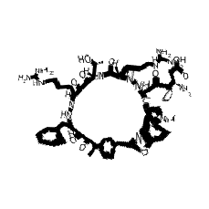 CC1C(=O)C(=O)[C@H](Cc2ccccc2)NN[C@@H](CCCNC(N)N)C(=O)C(=O)[C@H]([C@@H](C)O)NC(=O)[C@H](CCCNC(N)N)NNC(C(=O)C(=O)[C@@H](N)CC(=O)O)Cc2c[nH]c3ccc4oc(nc4c23)-c2ccc1cc2